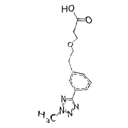 Cn1nnc(-c2cccc(CCOCCC(=O)O)c2)n1